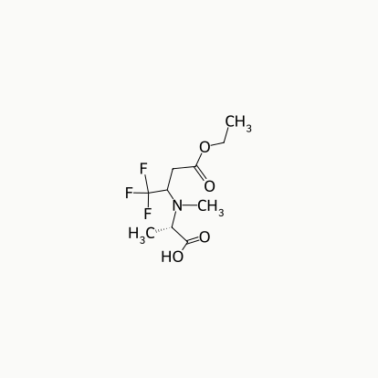 CCOC(=O)CC(N(C)[C@@H](C)C(=O)O)C(F)(F)F